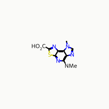 CNc1nc2sc(C(=O)O)nc2c2c1ncn2C